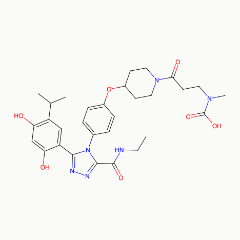 CCNC(=O)c1nnc(-c2cc(C(C)C)c(O)cc2O)n1-c1ccc(OC2CCN(C(=O)CCN(C)C(=O)O)CC2)cc1